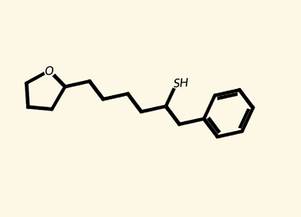 SC(CCCCC1CCCO1)Cc1ccccc1